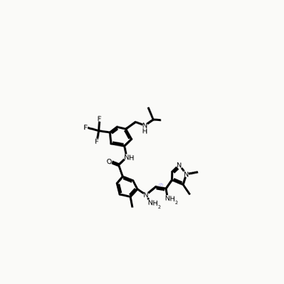 Cc1ccc(C(=O)Nc2cc(CNC(C)C)cc(C(F)(F)F)c2)cc1N(N)/C=C(\N)c1cnn(C)c1C